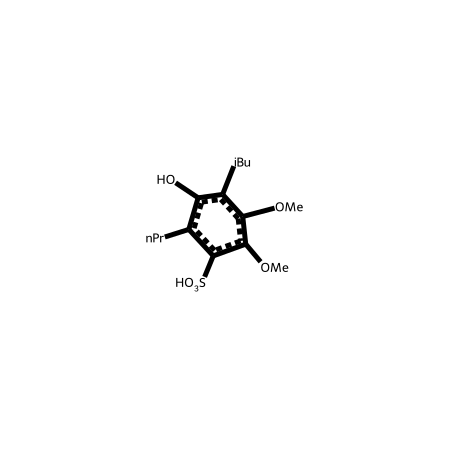 CCCc1c(O)c(C(C)CC)c(OC)c(OC)c1S(=O)(=O)O